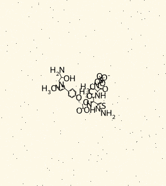 C[n+]1cc(-c2ccc(OC[C@H](O/N=C(\C(=O)N[C@@H]3C(=O)N(OS(=O)(=O)[O-])C3(C)C)c3csc(N)n3)C(=O)O)cc2)cn1CC(O)CN